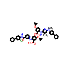 Cc1cc(N(C)c2ccc(C3CCCCC3)cc2)ncc1Nc1ccc(OC2CC2)cc1C(=O)Oc1cc(Nc2cccc(C(=O)Nc3ccc(C4CCCCC4)cc3Cl)c2)c(C(=O)O)cc1OC1CC1